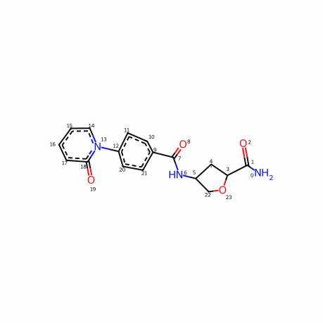 NC(=O)C1[CH]C(NC(=O)c2ccc(-n3ccccc3=O)cc2)CO1